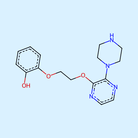 Oc1ccccc1OCCOc1nccnc1N1CCNCC1